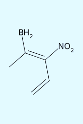 B/C(C)=C(/C=C)[N+](=O)[O-]